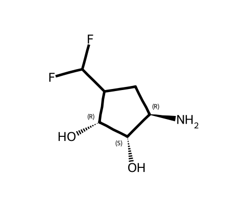 N[C@@H]1CC(C(F)F)[C@@H](O)[C@H]1O